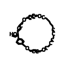 C=CC1(O)c2ccc(cc2)Oc2ccc(cc2)OCCCCCCCCCCCCOc2ccc(cc2)Oc2ccc1cc2